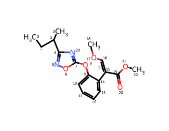 CCC(C)c1noc(Oc2ccccc2/C(=C\OC)C(=O)OC)n1